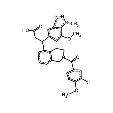 COc1ccc(C(=O)N2CCc3c(cccc3C(CC(=O)O)c3cc(OC)c4c(c3)nnn4C)C2)cc1Cl